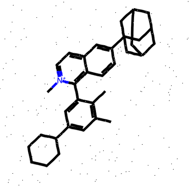 Cc1cc(C2CCCCC2)cc(-c2c3ccc(C45CC6CC(CC(C6)C4)C5)cc3cc[n+]2C)c1C